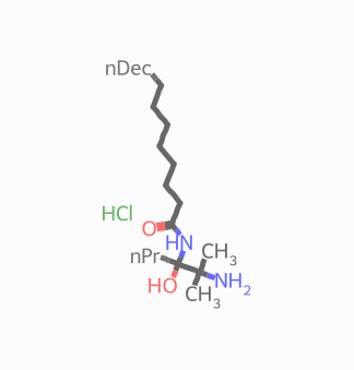 CCCCCCCCCCCCCCCCCC(=O)NC(O)(CCC)C(C)(C)N.Cl